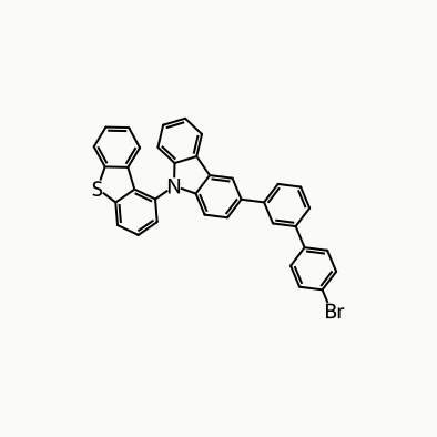 Brc1ccc(-c2cccc(-c3ccc4c(c3)c3ccccc3n4-c3cccc4sc5ccccc5c34)c2)cc1